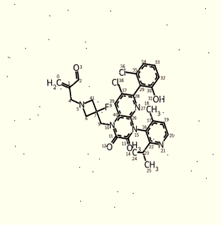 C=C(C=O)CN1CC(F)(Cn2c(=O)c(=O)n(-c3c(C)ccnc3C(C)C)c3nc(-c4c(O)cccc4Cl)c(Cl)cc32)C1